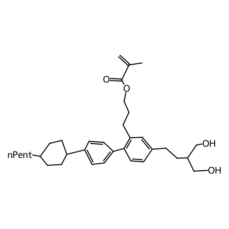 C=C(C)C(=O)OCCCc1cc(CCC(CO)CO)ccc1-c1ccc(C2CCC(CCCCC)CC2)cc1